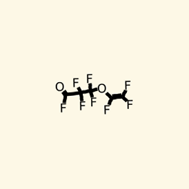 O=C(F)C(F)(F)C(F)(F)OC(F)=C(F)F